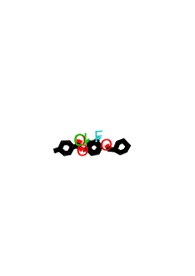 CC1CCC(C(=O)Oc2ccc(OCC3CCCCC3)c(F)c2Cl)CC1